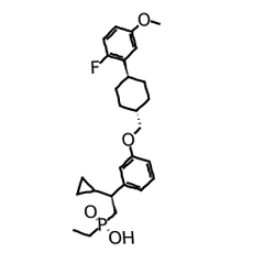 CCP(=O)(O)C[C@H](c1cccc(OC[C@H]2CC[C@H](c3cc(OC)ccc3F)CC2)c1)C1CC1